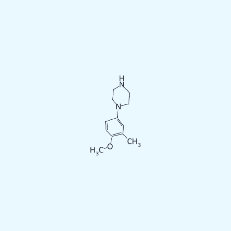 COc1ccc(N2CCNCC2)cc1C